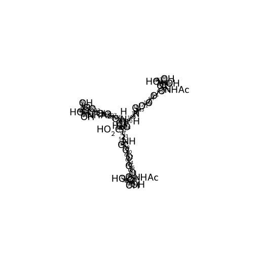 CC(=O)NC1[C@H](OCCOCCOCCOCC(=O)NCCCC[C@H](NC(=O)COCCOCCOCCO[C@@H]2O[C@H](CO)[C@H](O)[C@H](O)C2NC(C)=O)C(=O)N[C@@H](CCCCNC(=O)COCCOCCOCCO[C@@H]2O[C@H](CO)[C@H](O)[C@H](O)[C@H]2NC(C)=O)C(=O)O)O[C@H](CO)[C@H](O)[C@@H]1O